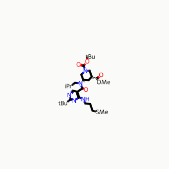 COC(=O)[C@@H]1C[C@H](N(CC(C)C)C(=O)c2cnc(C(C)(C)C)nc2NCCCSC)CN(C(=O)OC(C)(C)C)C1